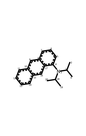 CC(C)N(c1cccc2cc3ccccc3cc12)C(C)C